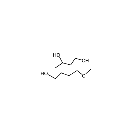 CC(O)CCO.COCCCCO